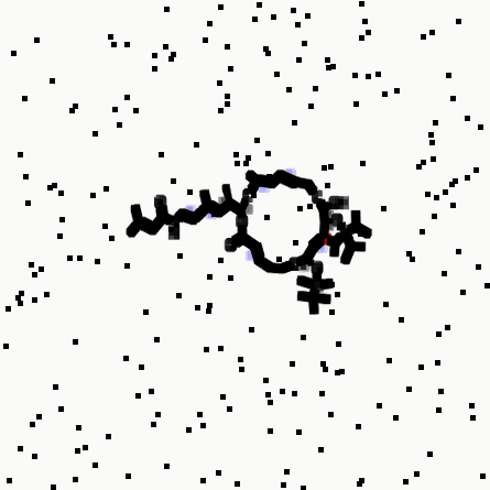 CC(C)=CC(=O)N/C=C/C(C)=C/[C@@H](C)[C@H]1C/C(C)=C/C=C/CC[C@@H](O)[C@H](O[Si](C(C)C)(C(C)C)C(C)C)/C=C/[C@H](O[Si](C)(C)C(C)(C)C)CCC/C=C/C(=O)O1